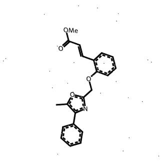 COC(=O)C=Cc1ccccc1OCc1nc(-c2ccccc2)c(C)o1